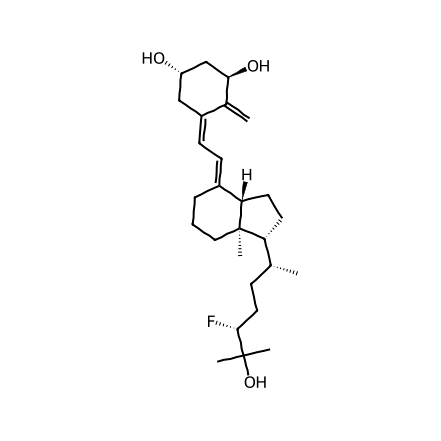 C=C1/C(=C\C=C2/CCC[C@]3(C)[C@@H]([C@H](C)CC[C@@H](F)C(C)(C)O)CC[C@@H]23)C[C@H](O)C[C@H]1O